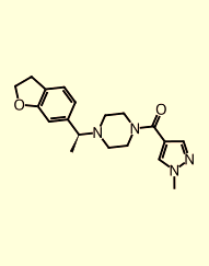 C[C@@H](c1ccc2c(c1)OCC2)N1CCN(C(=O)c2cnn(C)c2)CC1